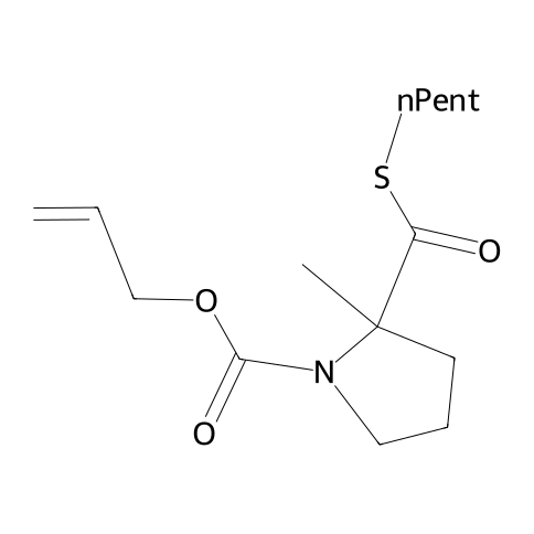 C=CCOC(=O)N1CCCC1(C)C(=O)SCCCCC